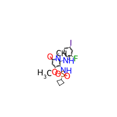 COc1cc(=O)n(C)c(Nc2ccc(I)cc2F)c1NS(=O)(=O)C1CCC1